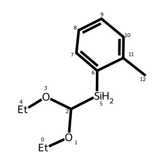 CCOC(OCC)[SiH2]c1ccccc1C